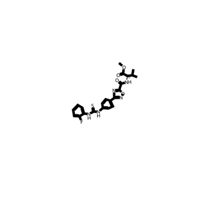 COC(=O)[C@@H](NC(=O)c1nc(-c2ccc(NC(=S)Nc3ccccc3F)cc2)no1)C(C)C